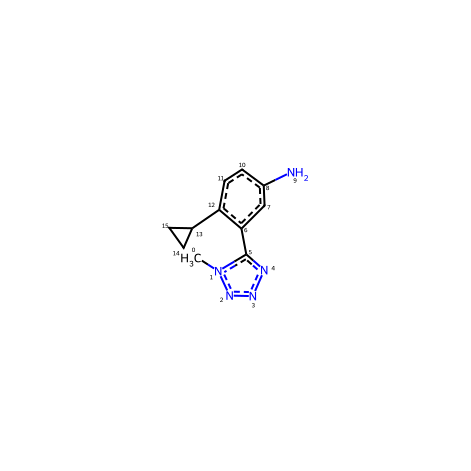 Cn1nnnc1-c1cc(N)ccc1C1CC1